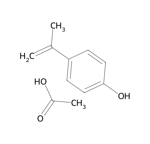 C=C(C)c1ccc(O)cc1.CC(=O)O